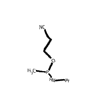 CC(C)NP(C)OCCC#N